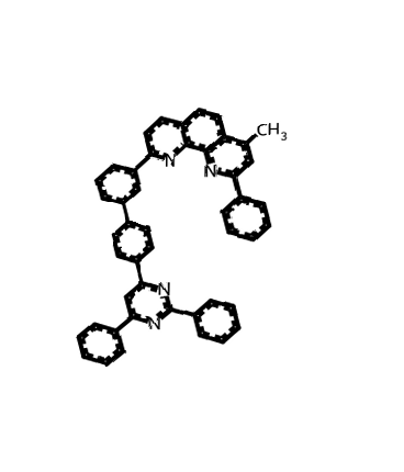 Cc1cc(-c2ccccc2)nc2c1ccc1ccc(-c3cccc(-c4ccc(-c5cc(-c6ccccc6)nc(-c6ccccc6)n5)cc4)c3)nc12